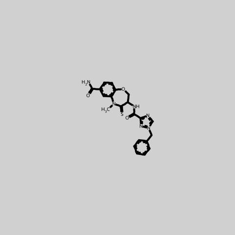 CN1C(=S)C(NC(=O)c2ncn(Cc3ccccc3)n2)COc2ccc(C(N)=O)cc21